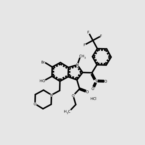 CCOC(=O)c1c(C(c2cccc(C(F)(F)F)c2)=S(=O)=O)n(C)c2cc(Br)c(O)c(CN3CCOCC3)c12.Cl